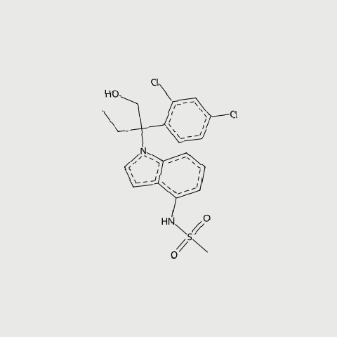 CCC(CO)(c1ccc(Cl)cc1Cl)n1ccc2c(NS(C)(=O)=O)cccc21